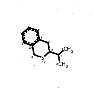 CC(C)C1Cc2ccccc2CS1